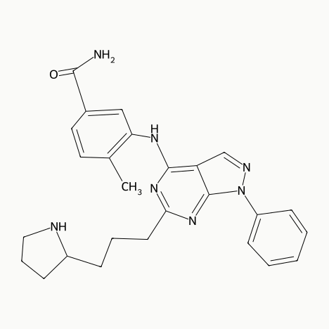 Cc1ccc(C(N)=O)cc1Nc1nc(CCCC2CCCN2)nc2c1cnn2-c1ccccc1